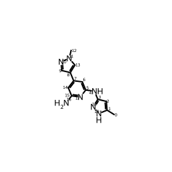 Cc1cc(Nc2cc(-c3cnn(C)c3)cc(N)n2)n[nH]1